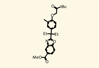 CCC(CC)(c1ccc(OCC(=O)C(C)(C)C)c(C)c1)c1nc2cc(C(=O)OC)ccc2o1